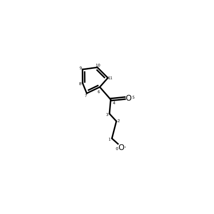 [O]CCCC(=O)c1ccccc1